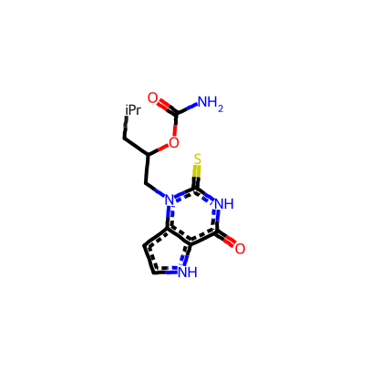 CC(C)CC(Cn1c(=S)[nH]c(=O)c2[nH]ccc21)OC(N)=O